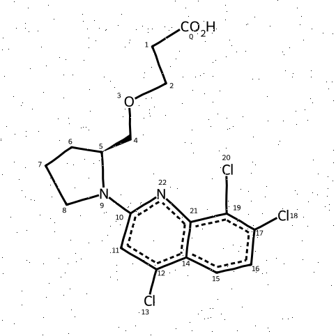 O=C(O)CCOC[C@@H]1CCCN1c1cc(Cl)c2ccc(Cl)c(Cl)c2n1